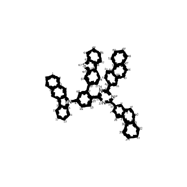 c1ccc2cc3c(cc2c1)c1ccccc1n3-c1ccc(-c2nc(-c3ccc4c(ccc5ccccc54)c3)nc(-c3ccc4c(ccc5ccccc54)c3)n2)c(-c2ccc3c(c2)sc2ccccc23)c1